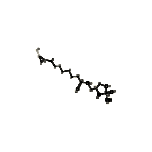 C[C@H]1C[C@@H]1CCCCCCCC(=O)OCC1COP(=O)(O)O1